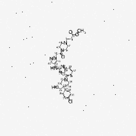 COC(=O)CCN1CCN(C(=O)Cn2cc(Nc3nc4c(N5CCC(CO)(c6ccc(Cl)cc6)CC5)cccn4n3)cn2)CC1